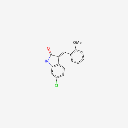 COc1ccccc1/C=C1/C(=O)Nc2cc(Cl)ccc21